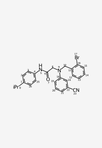 CC(C)c1ccc(NC(=O)CN(Cc2ccccc2Br)c2cccc(C#N)c2)cc1